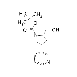 CC(C)(C)OC(=O)N1CC(c2cccnc2)C[C@H]1CO